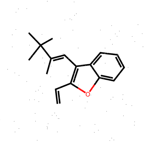 C=Cc1oc2ccccc2c1/C=C(\C)C(C)(C)C